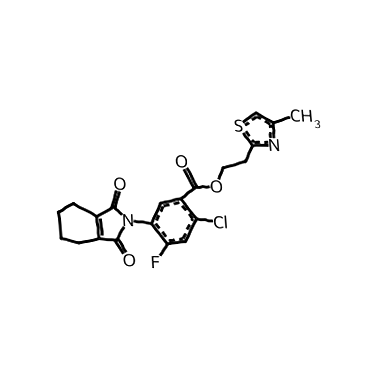 Cc1csc(CCOC(=O)c2cc(N3C(=O)C4=C(CCCC4)C3=O)c(F)cc2Cl)n1